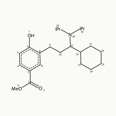 COC(=O)c1ccc(O)c(CCC(C2CCCCC2)N(C(C)C)C(C)C)c1